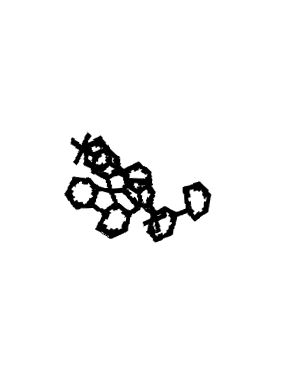 CC(C)(C)c1ccc2c(c1)C1(c3cc(C(C)(C)C)ccc3-2)c2ccccc2-c2cccc(N(c3cccc(-c4ccccc4)c3)c3cccc(-c4ccccc4)c3)c21